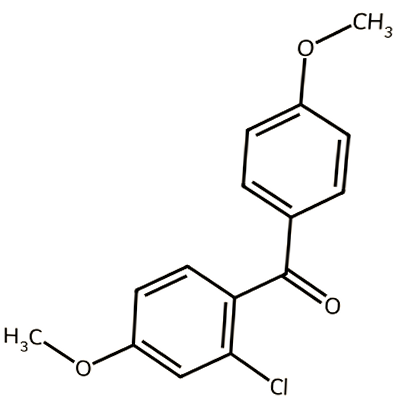 COc1ccc(C(=O)c2ccc(OC)cc2Cl)cc1